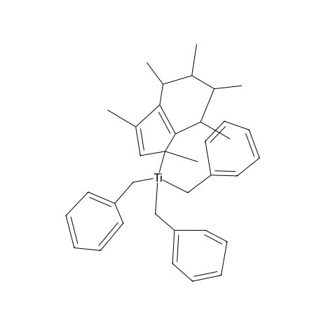 CC1=C[C](C)([Ti]([CH2]c2ccccc2)([CH2]c2ccccc2)[CH2]c2ccccc2)C2=C1C(C)C(C)C(C)C2C